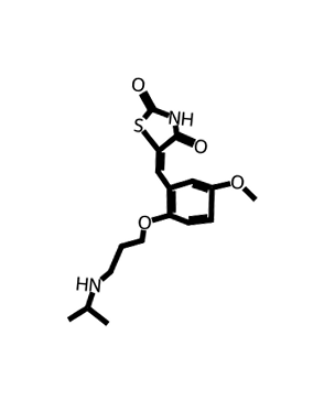 COc1ccc(OCCCNC(C)C)c(/C=C2/SC(=O)NC2=O)c1